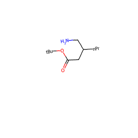 CCCC(CN)CC(=O)OC(C)(C)C